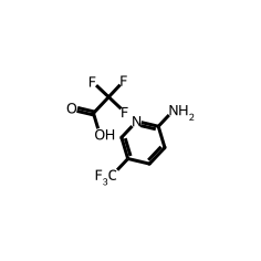 Nc1ccc(C(F)(F)F)cn1.O=C(O)C(F)(F)F